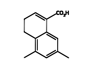 Cc1cc(C)c2c(c1)C(C(=O)O)=CCC2